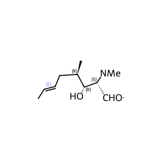 C/C=C/C[C@@H](C)[C@@H](O)[C@@H]([C]=O)NC